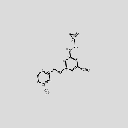 O=Cc1cc(OCc2cccc(C(F)(F)F)c2)cc(OCC2CN2)c1